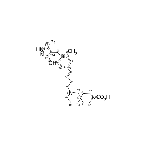 Cc1cc(C=CCCN2CCCC3(CCN(C(=O)O)CC3)C2)ccc1Cc1c(O)n[nH]c1C(C)C